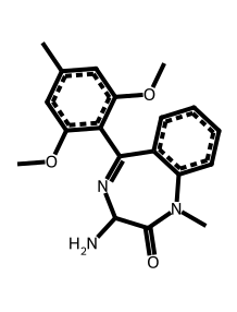 COc1cc(C)cc(OC)c1C1=NC(N)C(=O)N(C)c2ccccc21